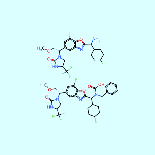 COC[C@H](c1cc(F)c2oc([C@@H](N)C3CCC(F)CC3)nc2c1)N1C[C@@H](C(F)(F)F)NC1=O.COC[C@H](c1cc(F)c2oc([C@H](C3CCC(F)CC3)N(Cc3ccccc3)C(=O)O)nc2c1)N1C[C@@H](C(F)(F)F)NC1=O